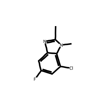 Cc1nc2cc(F)cc(Cl)c2n1C